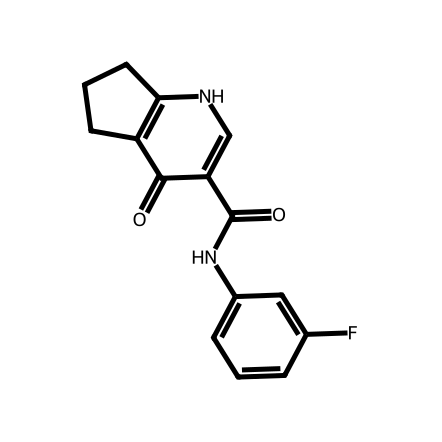 O=C(Nc1cccc(F)c1)c1c[nH]c2c(c1=O)CCC2